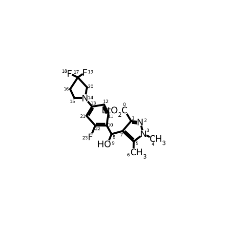 CCOC(=O)c1nn(C)c(C)c1C(O)c1ccc(N2CCC(F)(F)C2)cc1F